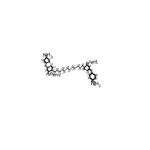 CCCCCc1cc(Cc2ccc(N)cc2)ccc1CCCCCCCCCCCCc1ccc(Cc2ccc(N)cc2)cc1CCCCC